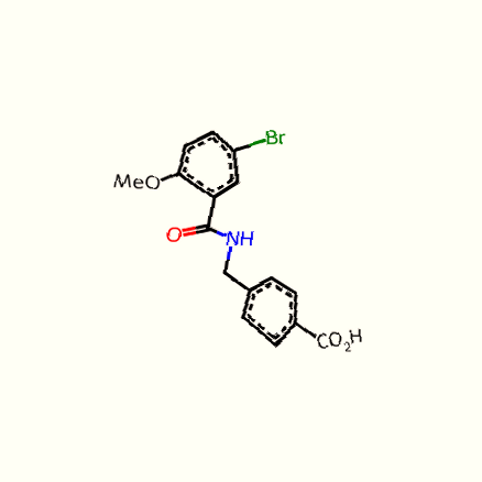 COc1ccc(Br)cc1C(=O)NCc1ccc(C(=O)O)cc1